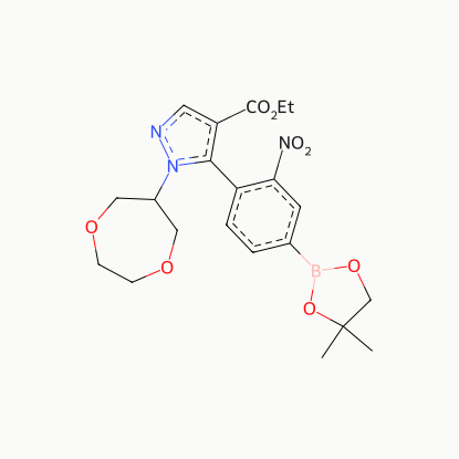 CCOC(=O)c1cnn(C2COCCOC2)c1-c1ccc(B2OCC(C)(C)O2)cc1[N+](=O)[O-]